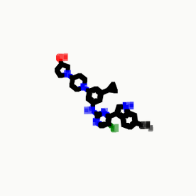 Cc1ccc2c(-c3nc(Nc4cc(C5CC5)cc(N5CCC(N6CCC(O)C6)CC5)c4)ncc3Cl)c[nH]c2c1